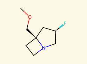 COC[C@]12CCN1C[C@H](F)C2